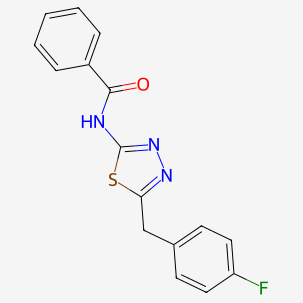 O=C(Nc1nnc(Cc2ccc(F)cc2)s1)c1ccccc1